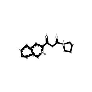 O=C(CC(=O)N1CCCC1)c1cc2ccccc2cn1